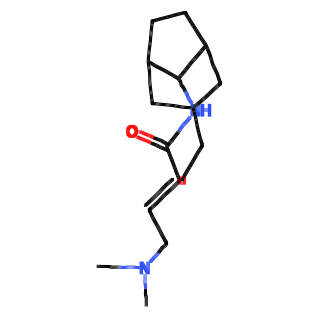 CCC1CC2CCC(C1)C2NC(=O)/C=C/CN(C)C